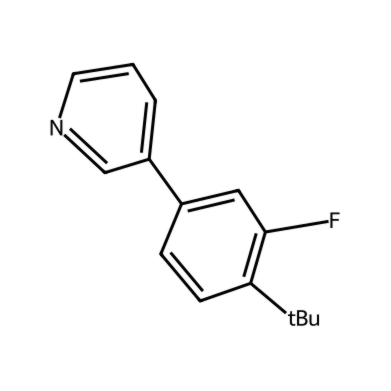 CC(C)(C)c1ccc(-c2cccnc2)cc1F